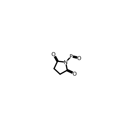 O=PN1C(=O)CCC1=O